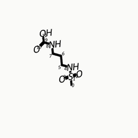 CS(=O)(=O)NCCCNC(=O)O